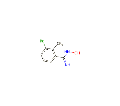 N=C(NO)c1cccc(Br)c1C(F)(F)F